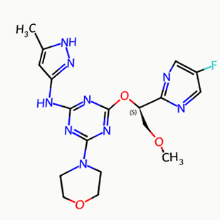 COC[C@@H](Oc1nc(Nc2cc(C)[nH]n2)nc(N2CCOCC2)n1)c1ncc(F)cn1